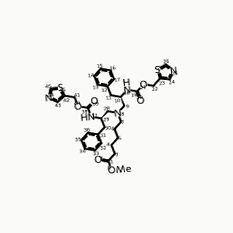 COC(=O)CCCCCN(C[C@@H](Cc1ccccc1)NC(=O)OCc1cncs1)C[C@@H](Cc1ccccc1)NC(=O)OCc1cncs1